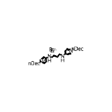 CCCCCCCCCC[n+]1ccc(NCCCCNc2cc[n+](CCCCCCCCCC)cc2)cc1.[Br-].[Br-]